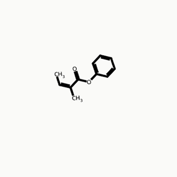 C/C=C(/C)C(=O)Oc1ccccc1